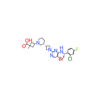 C[C@@H](Nc1nc(N2CC([C@H]3CCCN(C4CC(C)(C(=O)O)C4)C3)C2)ncc1Br)c1ccc(F)cc1Cl